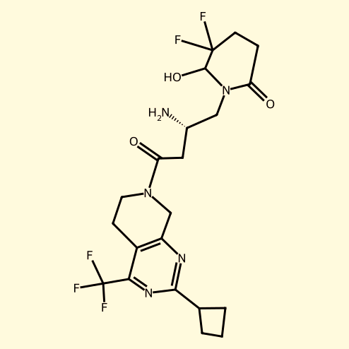 N[C@@H](CC(=O)N1CCc2c(nc(C3CCC3)nc2C(F)(F)F)C1)CN1C(=O)CCC(F)(F)C1O